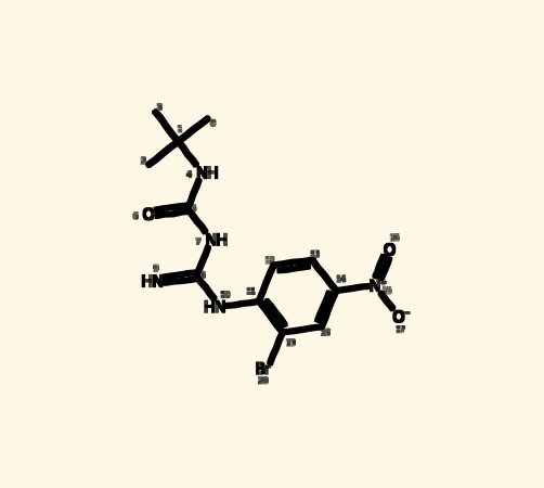 CC(C)(C)NC(=O)NC(=N)Nc1ccc([N+](=O)[O-])cc1Br